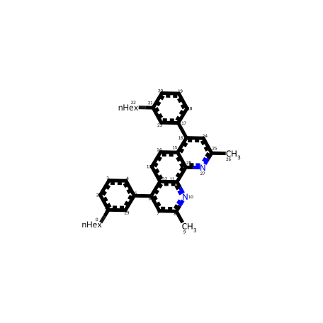 CCCCCCc1cccc(-c2cc(C)nc3c2ccc2c(-c4cccc(CCCCCC)c4)cc(C)nc23)c1